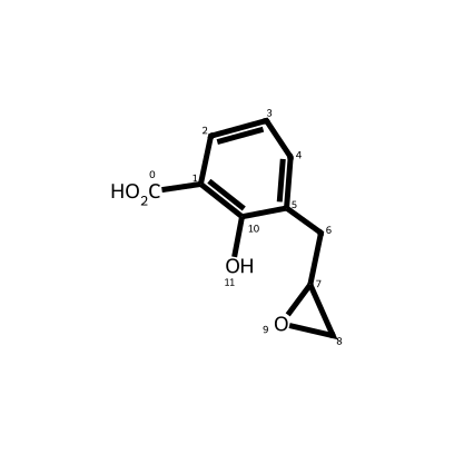 O=C(O)c1cccc(CC2CO2)c1O